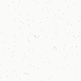 Cc1csc(C#N)n1